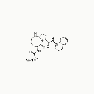 CN[C@@H](C)C(=O)NC1CCCNC2CCC(C(=O)N[C@@H]3CCCc4ccccc43)N2C1=O